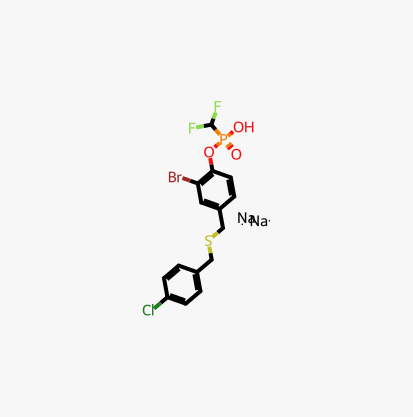 O=P(O)(Oc1ccc(CSCc2ccc(Cl)cc2)cc1Br)C(F)F.[Na].[Na]